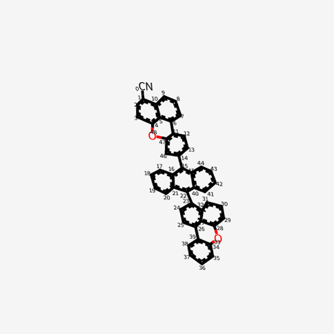 N#Cc1ccc2c3c(cccc13)-c1ccc(-c3c4ccccc4c(-c4ccc5c6c(cccc46)Oc4ccccc4-5)c4ccccc34)cc1O2